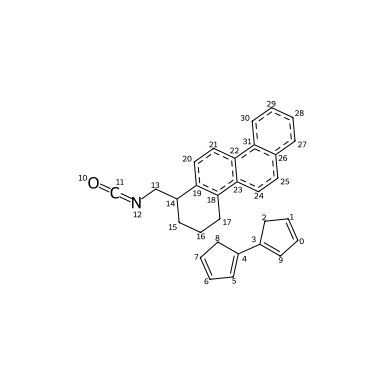 C1=CCC(C2=CC=CC2)=C1.O=C=NCC1CCCc2c1ccc1c2ccc2ccccc21